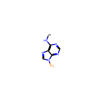 CC(C)Nc1ncnc2c1ncn2P